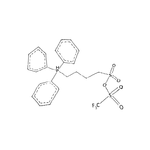 O=S(=O)(CCCC[PH](c1ccccc1)(c1ccccc1)c1ccccc1)OS(=O)(=O)C(F)(F)F